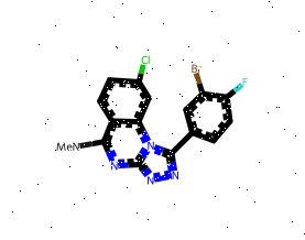 CNc1nc2nnc(-c3ccc(F)c(Br)c3)n2c2cc(Cl)ccc12